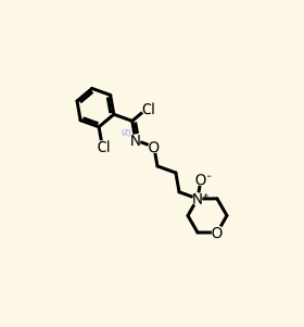 [O-][N+]1(CCCO/N=C(\Cl)c2ccccc2Cl)CCOCC1